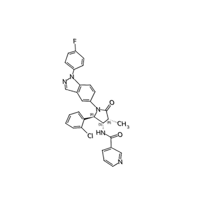 C[C@H]1C(=O)N(c2ccc3c(cnn3-c3ccc(F)cc3)c2)[C@H](c2ccccc2Cl)[C@H]1NC(=O)c1cccnc1